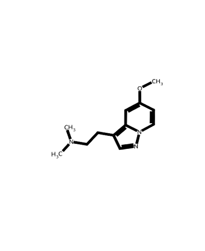 COc1ccn2ncc(CCN(C)C)c2c1